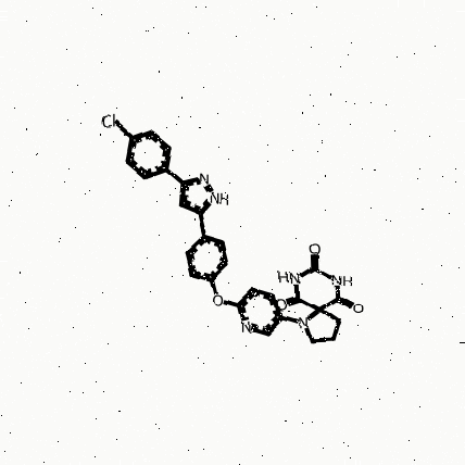 O=C1NC(=O)C2(CCCN2c2ccc(Oc3ccc(-c4cc(-c5ccc(Cl)cc5)n[nH]4)cc3)nc2)C(=O)N1